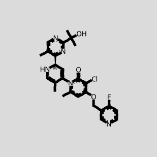 CC1=CN[C@@H](c2nc(C(C)(C)O)ncc2C)C=C1n1c(C)cc(OCc2cnccc2F)c(Cl)c1=O